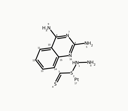 NNSC=S.Nc1nc(N)c2ccccc2n1.[Pt]